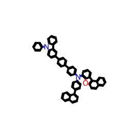 c1ccc(-n2c3ccccc3c3cc(-c4ccc(-c5ccc(N(c6ccc(-c7cccc8ccccc78)cc6)c6cccc7c6oc6ccc8ccccc8c67)cc5)cc4)ccc32)cc1